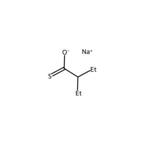 CCC(CC)C([O-])=S.[Na+]